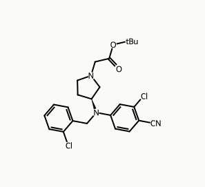 CC(C)(C)OC(=O)CN1CC[C@H](N(Cc2ccccc2Cl)c2ccc(C#N)c(Cl)c2)C1